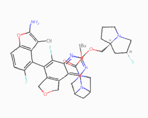 CC(C)(C)OC(=O)N1CC2CC(C1)N2c1nc(OC[C@@]23CCCN2C[C@H](F)C3)nc2c(F)c(-c3c(F)ccc4oc(N)c(C#N)c34)c3c(c12)COC3